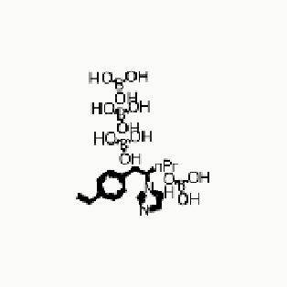 C=Cc1ccc(CC(CCC)n2ccnc2)cc1.OB(O)O.OB(O)O.OB(O)O.OB(O)O